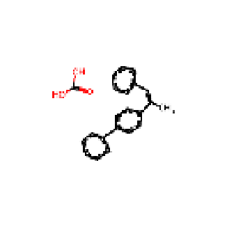 CC(=Cc1ccccc1)c1ccc(-c2ccccc2)cc1.O=C(O)O